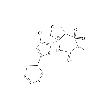 CN1C(=N)N[C@@]2(c3sc(-c4cncnc4)cc3Cl)COCC2S1(=O)=O